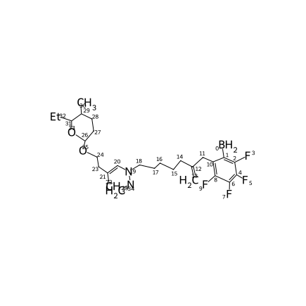 Bc1c(F)c(F)c(F)c(F)c1CC(=C)CCCCCN(/C=C(\C)CCOC1CCC(C)C(CC)O1)N=C